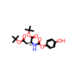 CC(C)(C)OC(=O)C[C@H](NC(=O)Oc1ccc(O)cc1)C(=O)OC(C)(C)C